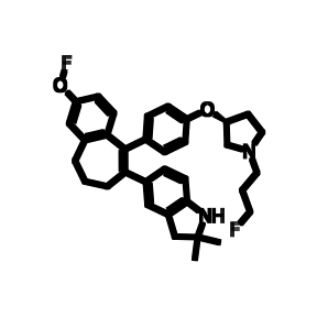 CC1(C)Cc2cc(C3=C(c4ccc(O[C@H]5CCN(CCCF)C5)cc4)c4ccc(OF)cc4CCC3)ccc2N1